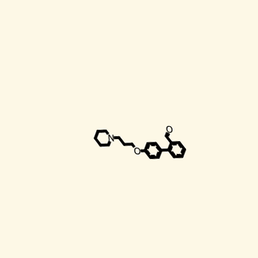 O=Cc1ccccc1-c1ccc(OCCCN2CCCCC2)cc1